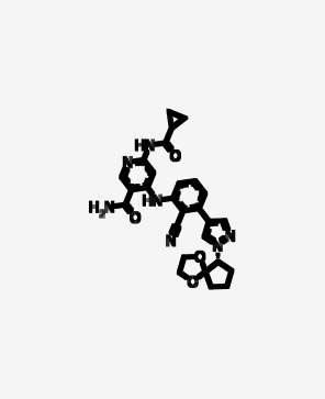 N#Cc1c(Nc2cc(NC(=O)C3CC3)ncc2C(N)=O)cccc1-c1cnn([C@@H]2CCCC23OCCO3)c1